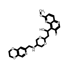 COc1ccc2ncc(F)c(C(O)CC3OCC(NCc4cc5c(cn4)OCCO5)CO3)c2n1